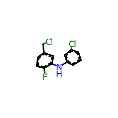 Fc1ccc(CCl)cc1Nc1cccc(Cl)c1